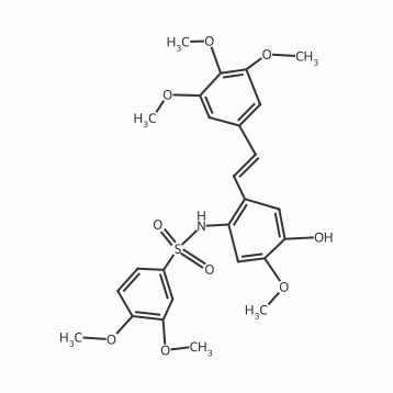 COc1cc(NS(=O)(=O)c2ccc(OC)c(OC)c2)c(C=Cc2cc(OC)c(OC)c(OC)c2)cc1O